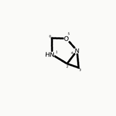 C1NC2CN2O1